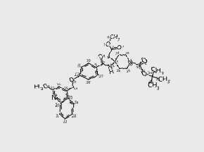 COC(=O)CC1(NC(=O)c2ccc(OCc3cc(C)nc4ccccc34)cc2)CCN(C(=O)OC(C)(C)C)CC1